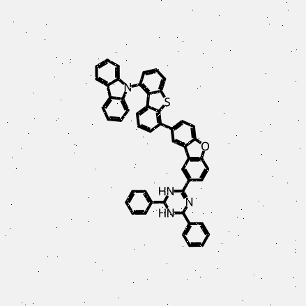 c1ccc(C2N=C(c3ccc4oc5ccc(-c6cccc7c6sc6cccc(-n8c9ccccc9c9ccccc98)c67)cc5c4c3)NC(c3ccccc3)N2)cc1